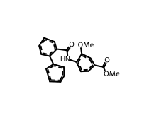 COC(=O)c1ccc(NC(=O)c2ccccc2-c2ccccc2)c(OC)c1